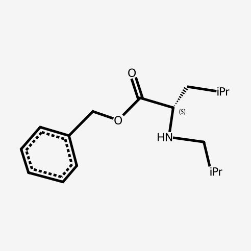 CC(C)CN[C@@H](CC(C)C)C(=O)OCc1ccccc1